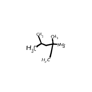 CC(C)[C](C)(C)[Mg]